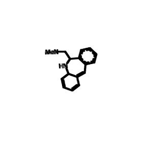 CNCC1NC2C=CC=CC2=Cc2ccccc21